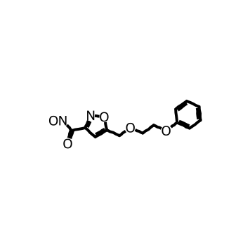 O=NC(=O)c1cc(COCCOc2ccccc2)on1